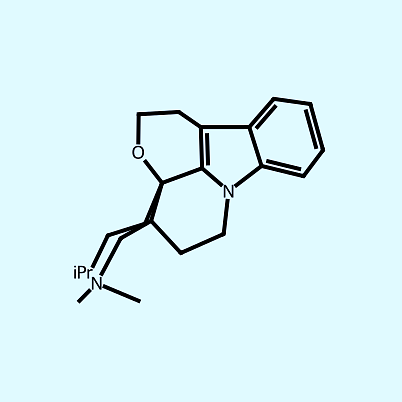 CC(C)CCC12OCCc3c1n(c1ccccc31)CCC2CN(C)C